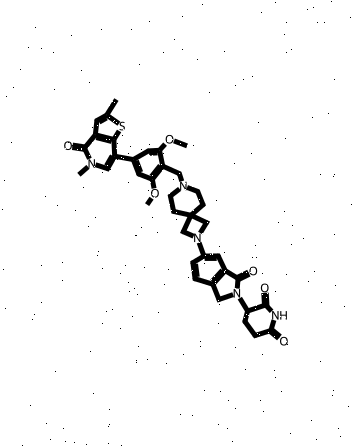 COc1cc(-c2cn(C)c(=O)c3cc(C)sc23)cc(OC)c1CN1CCC2(CC1)CN(c1ccc3c(c1)C(=O)N(C1CCC(=O)NC1=O)C3)C2